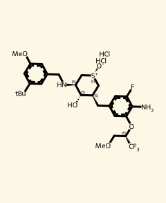 COC[C@@H](Oc1cc(C[C@@H]2C[S@@+]([O-])C[C@H](NCc3cc(OC)cc(C(C)(C)C)c3)[C@H]2O)cc(F)c1N)C(F)(F)F.Cl.Cl